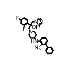 N#Cc1c(NC2CCN(CC(O)(Cn3cncn3)c3ccc(F)cc3F)CC2)cccc1-c1ccccc1